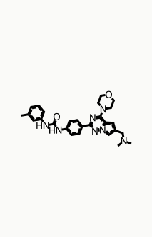 Cc1cccc(NC(=O)Nc2ccc(-c3nc(N4CCOCC4)c4cc(CN(C)C)cn4n3)cc2)c1